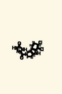 O=C(c1n[nH]c(=O)[nH]1)N1CCc2[nH]c3c(Cl)c(Cl)ccc3c2C1